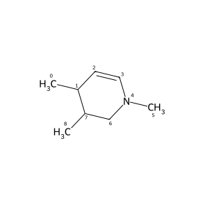 CC1C=CN(C)CC1C